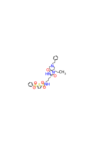 CCCN1C(=O)[C@H](CCCCNS(=O)(=O)c2ccc(S(=O)(=O)c3ccccc3)s2)NC(=O)C12CCN(CCc1ccccc1)CC2